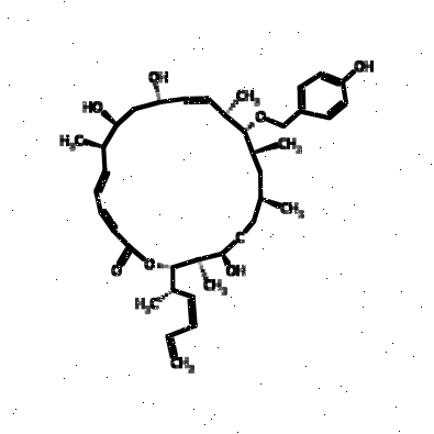 C=C/C=C\[C@H](C)[C@@H]1OC(=O)/C=C\C=C\[C@@H](C)[C@@H](O)C[C@H](O)/C=C\[C@H](C)[C@H](OCc2ccc(O)cc2)[C@@H](C)C[C@@H](C)CC[C@@H](O)[C@@H]1C